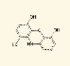 Cc1ccc(O)c2c1Nc1cccc(O)c1O2